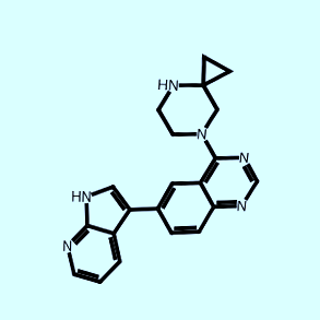 c1cnc2[nH]cc(-c3ccc4ncnc(N5CCNC6(CC6)C5)c4c3)c2c1